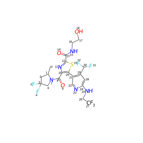 CC1CC(F)(F)CN1C(=O)c1nc(C(=O)NCCO)sc1-c1cnc(NCC(F)(F)F)cc1C(F)F